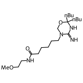 CCCCC1(CCCC)NC(=N)N(CCCCCC(=O)NCCOC)CO1